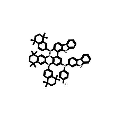 CC(C)(C)c1ccc(N(c2cc3c4c(c2)N(c2ccc5c(c2)C(C)(C)CCC5(C)C)c2cc5c(cc2B4N(c2ccc4c(c2)C(C)(C)CCC4(C)C)c2ccc4c(oc6ccccc64)c2-3)C(C)(C)CCC5(C)C)c2ccc3c(c2)oc2ccccc23)cc1